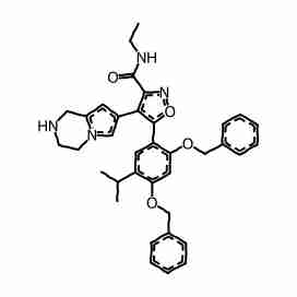 CCNC(=O)c1noc(-c2cc(C(C)C)c(OCc3ccccc3)cc2OCc2ccccc2)c1-c1cc2n(c1)CCNC2